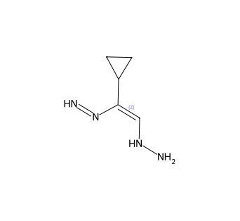 N=N/C(=C\NN)C1CC1